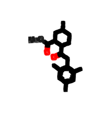 COC(=O)C1CC(C)CCC1C(=O)Cc1c(C)cc(C)cc1C